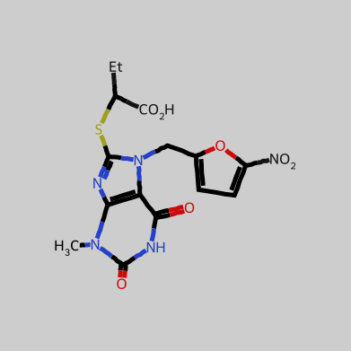 CCC(Sc1nc2c(c(=O)[nH]c(=O)n2C)n1Cc1ccc([N+](=O)[O-])o1)C(=O)O